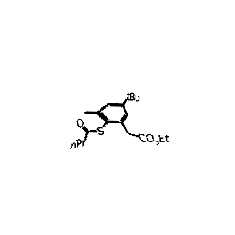 CCCC(=O)Sc1c(C)cc(C(C)(C)C)cc1CC(=O)OCC